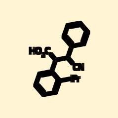 CC(C)c1ccccc1C(C(=O)O)C(C#N)c1ccccc1